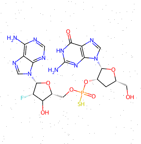 Nc1nc2c(ncn2[C@@H]2O[C@H](CO)C[C@@H]2OP(=O)(S)OC[C@H]2O[C@@H](n3cnc4c(N)ncnc43)[C@@H](F)C2O)c(=O)[nH]1